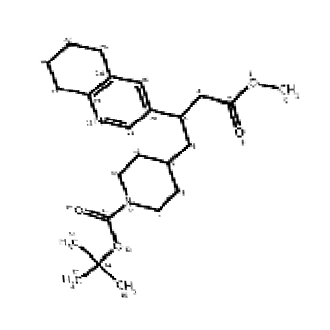 COC(=O)CC(CC1CCN(C(=O)OC(C)(C)C)CC1)c1cnc2c(c1)CCCC2